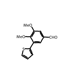 COc1cc(C=O)cc(-c2cccs2)c1OC